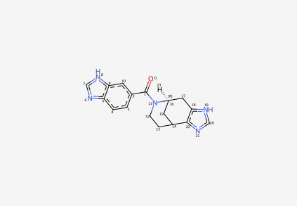 O=C(c1ccc2nc[nH]c2c1)N1CCC2C[C@@H]1Cc1[nH]cnc12